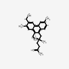 CCc1c(CC(C)(C)CCC(C)=O)c2ccc(C)cc2c2cc(CO)c(C)cc12